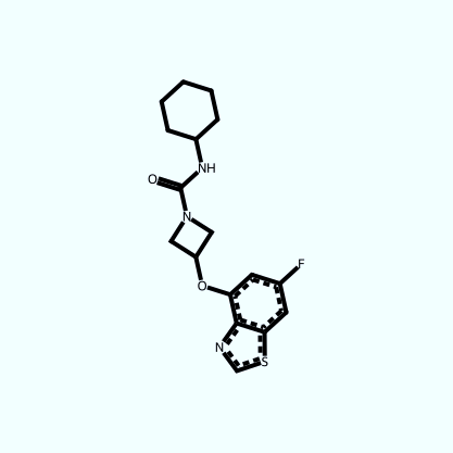 O=C(NC1CCCCC1)N1CC(Oc2cc(F)cc3scnc23)C1